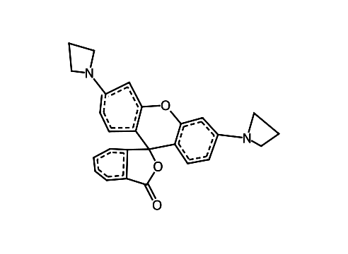 O=C1OC2(c3ccc(N4CCC4)cc3Oc3cc(N4CCC4)ccc32)c2ccccc21